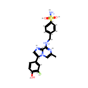 Cc1cn2c(-c3ccc(O)c(F)c3)cnc2c(NCc2ccc(S(N)(=O)=O)cc2)n1